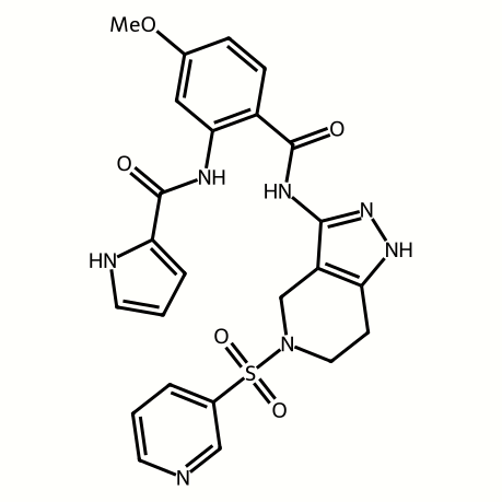 COc1ccc(C(=O)Nc2n[nH]c3c2CN(S(=O)(=O)c2cccnc2)CC3)c(NC(=O)c2ccc[nH]2)c1